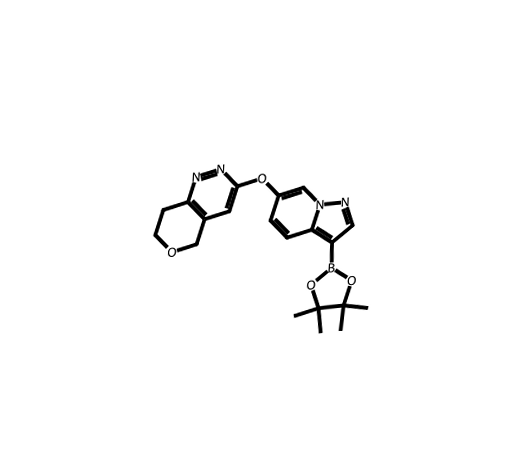 CC1(C)OB(c2cnn3cc(Oc4cc5c(nn4)CCOC5)ccc23)OC1(C)C